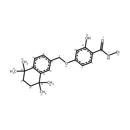 CCNC(=O)c1ccc(OCc2ccc3c(c2)C(C)(C)CCC3(C)C)cc1O